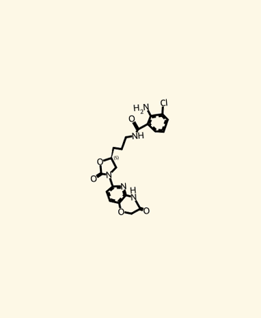 Nc1c(Cl)cccc1C(=O)NCCC[C@H]1CN(c2ccc3c(n2)NC(=O)CO3)C(=O)O1